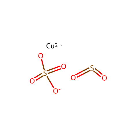 O=S(=O)([O-])[O-].O=S=O.[Cu+2]